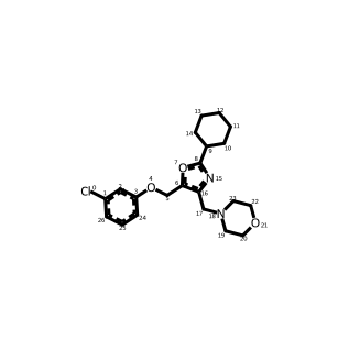 Clc1[c]c(OCc2oc(C3CCCCC3)nc2CN2CCOCC2)ccc1